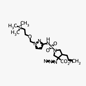 C=CCC1CN(S(=O)(=O)Nc2ccn(COCC[Si](C)(C)C)n2)CC1(N=[N+]=[N-])C(=O)O